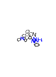 CC1c2c(n(-c3ccccc3)c3cccc(-c4cc(C#N)cc(-c5nc(-c6ccccc6)n[nH]5)c4)c23)C=CC1C1=CC=CCC1